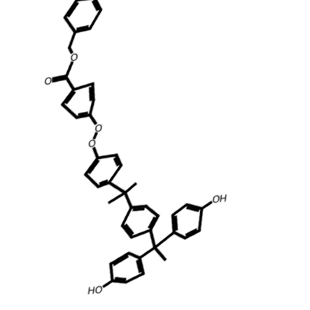 CC(C)(c1ccc(OOc2ccc(C(=O)OCc3ccccc3)cc2)cc1)c1ccc(C(C)(c2ccc(O)cc2)c2ccc(O)cc2)cc1